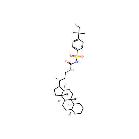 C[C@H](CCNC(=O)NS(=O)(=O)c1ccc(C(C)(C)CF)cc1)C1CC[C@H]2[C@@H]3CC[C@@H]4CCCC[C@]4(C)[C@H]3CC[C@]12C